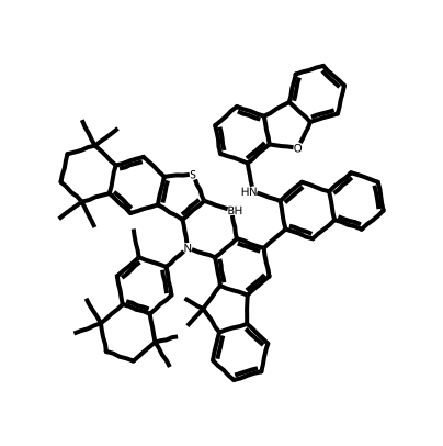 Cc1cc2c(cc1N1c3c(c(-c4cc5ccccc5cc4Nc4cccc5c4oc4ccccc45)cc4c3C(C)(C)c3ccccc3-4)Bc3sc4cc5c(cc4c31)C(C)(C)CCC5(C)C)C(C)(C)CCC2(C)C